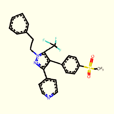 CS(=O)(=O)c1ccc(-c2c(-c3ccncc3)nn(CCc3ccccc3)c2C(F)(F)F)cc1